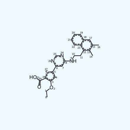 CCOc1cc(-c2cc(NCCc3c(C)c(C)cc4ccccc34)ncn2)sc1C(=O)O